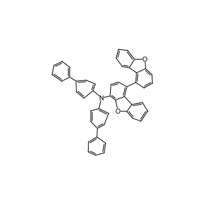 c1ccc(-c2ccc(N(c3ccc(-c4ccccc4)cc3)c3ccc(-c4cccc5oc6ccccc6c45)c4c3oc3ccccc34)cc2)cc1